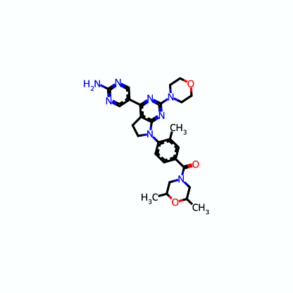 Cc1cc(C(=O)N2CC(C)OC(C)C2)ccc1N1CCc2c(-c3cnc(N)nc3)nc(N3CCOCC3)nc21